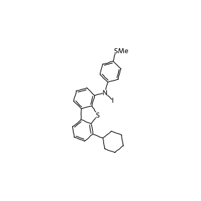 CSc1ccc(N(I)c2cccc3c2sc2c(C4CCCCC4)cccc23)cc1